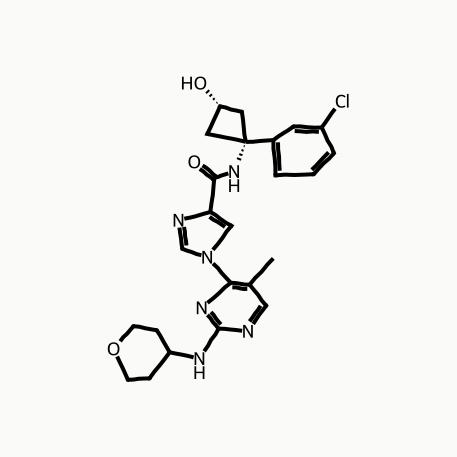 Cc1cnc(NC2CCOCC2)nc1-n1cnc(C(=O)N[C@]2(c3cccc(Cl)c3)C[C@H](O)C2)c1